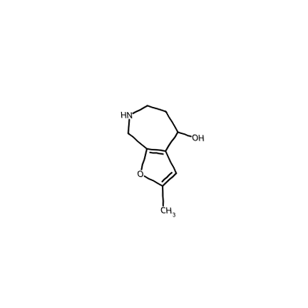 Cc1cc2c(o1)CNCCC2O